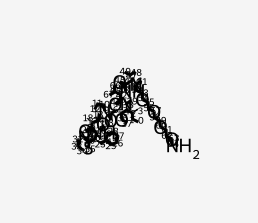 CC[C@H](C)[C@@H]([C@@H](CC(=O)N1CCC[C@H]1[C@H](OC)[C@@H](C)C(=O)N[C@@H](Cc1ccccc1)C1=NC=CCS1)OC)N(C)C(=O)[C@@H](NC(=O)[C@H](C(C)C)N(C)CCOCCOCCOCCON)C(C)C